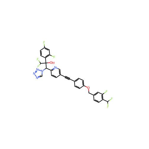 OC(c1ccc(F)cc1F)(C(F)F)C(c1ccc(C#Cc2ccc(OCc3ccc(C(F)F)c(F)c3)cc2)cn1)n1cnnn1